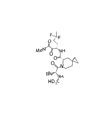 CNC(=O)C(=O)[C@H](CCC(C)(F)F)NC(=O)[C@@H]1CC2(CCN1C(=O)[C@@H](NC(=O)O)C(C)(C)C)CC2